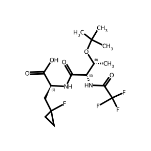 C[C@@H](OC(C)(C)C)[C@H](NC(=O)C(F)(F)F)C(=O)N[C@@H](CC1(F)CC1)C(=O)O